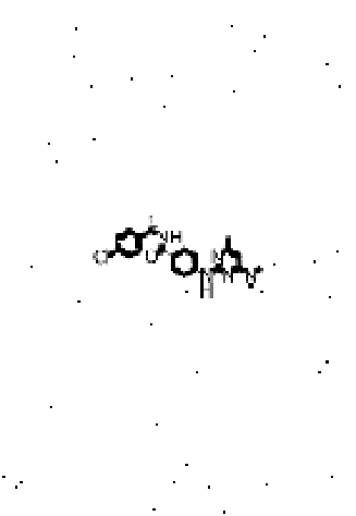 Cc1cc(N(C)C)nc(N[C@H]2CC[C@@H](C(=O)N[C@@H](C)c3ccc(Cl)cc3)CC2)n1